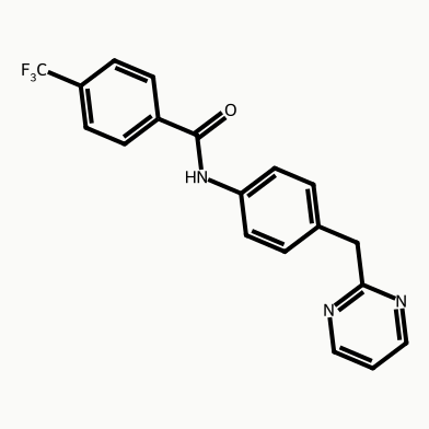 O=C(Nc1ccc(Cc2ncccn2)cc1)c1ccc(C(F)(F)F)cc1